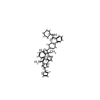 CC(N1CCN(c2ccccc2C(=O)NC2CCCCC2)CC1)C(C)(c1ccccc1)n1ncc2c1cc(N)n1nc(-c3ccco3)nc21